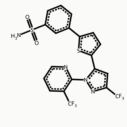 NS(=O)(=O)c1cccc(-c2ccc(-c3cc(C(F)(F)F)nn3-c3ncccc3C(F)(F)F)s2)c1